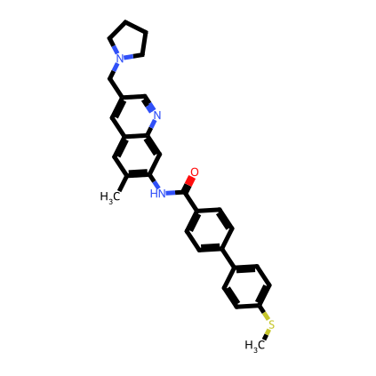 CSc1ccc(-c2ccc(C(=O)Nc3cc4ncc(CN5CCCC5)cc4cc3C)cc2)cc1